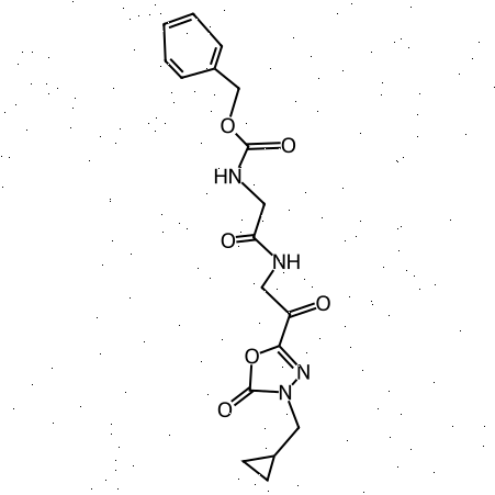 O=C(CNC(=O)OCc1ccccc1)NCC(=O)c1nn(CC2CC2)c(=O)o1